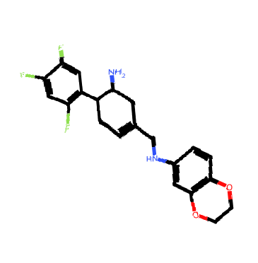 NC1CC(CNc2ccc3c(c2)OCCO3)=CCC1c1cc(F)c(F)cc1F